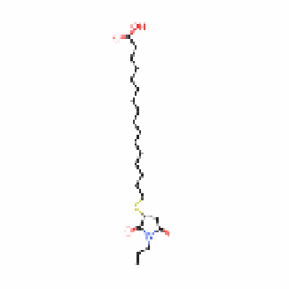 CCCN1C(=O)CC(SCCCCCCCCCCCCCCCC(=O)O)C1=O